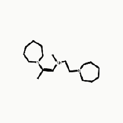 CC(=C[SiH](C)CCN1CCCCCC1)N1CCCCCC1